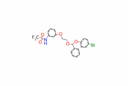 O=S(=O)(Nc1cccc(OCCOC(Oc2ccc(Br)cc2)c2ccccc2)c1)C(F)(F)F